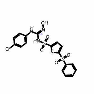 O=S(=O)(N/C(=N/O)Nc1ccc(Cl)cc1)c1ccc(S(=O)(=O)c2ccccc2)s1